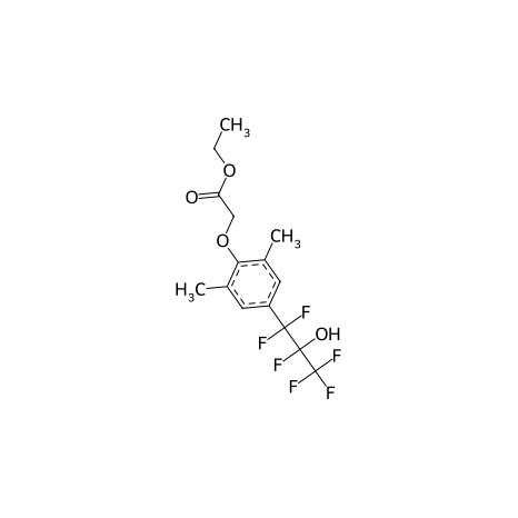 CCOC(=O)COc1c(C)cc(C(F)(F)C(O)(F)C(F)(F)F)cc1C